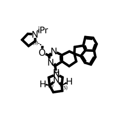 CC(C)N1CCC[C@H]1COc1nc2c(c(N3C[C@H]4CC[C@@H](C3)N4)n1)CCC1(C2)Cc2cccc3cccc1c23